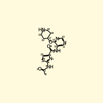 CC(=O)Nc1nc(C(=O)Nc2cncnc2OC2CCNCC2)cs1